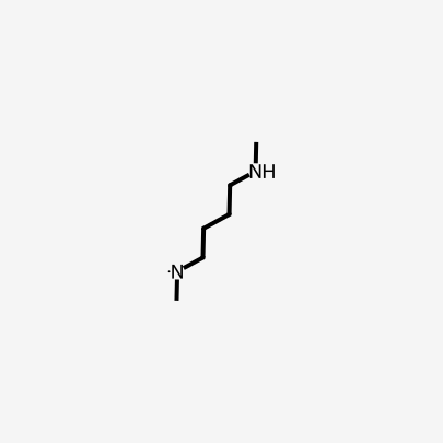 C[N]CCCCNC